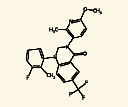 COc1ccc(N2CN(c3cccc(F)c3C)c3ccc(C(F)(F)F)cc3C2=O)c(C)n1